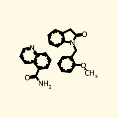 COc1ccccc1CN1C(=O)Cc2ccccc21.NC(=O)c1cccc2ncccc12